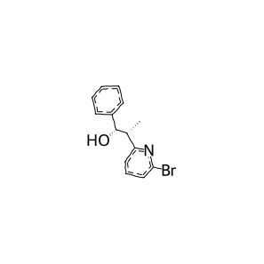 C[C@H](c1cccc(Br)n1)[C@H](O)c1ccccc1